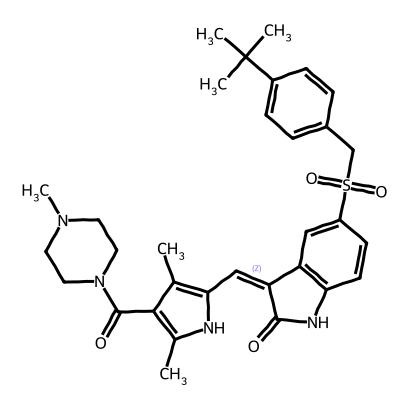 Cc1[nH]c(/C=C2\C(=O)Nc3ccc(S(=O)(=O)Cc4ccc(C(C)(C)C)cc4)cc32)c(C)c1C(=O)N1CCN(C)CC1